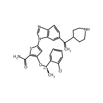 C=C(c1ccc2ncn(-c3cc(O[C@H](C)c4ccccc4Cl)c(C(N)=O)s3)c2c1)C1CCNCC1